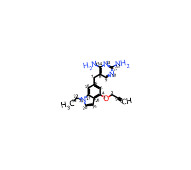 C#CCOc1cc(Cc2cnc(N)nc2N)cc2c1ccn2CC